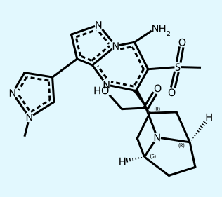 Cn1cc(-c2cnn3c(N)c(S(C)(=O)=O)c([C@H]4C[C@H]5CC[C@@H](C4)N5C(=O)CO)nc23)cn1